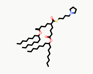 C=C(CCCC(CCCC(=O)OC(CCCCCCC)CCCCCCC)C(=O)SCCCCN1CCCC1)OC(CCCCCCC)CCCCCCC